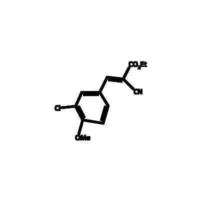 CCOC(=O)/C(C#N)=C/c1ccc(OC)c(Cl)c1